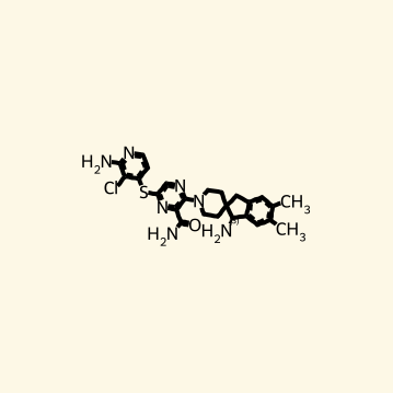 Cc1cc2c(cc1C)[C@@H](N)C1(CCN(c3ncc(Sc4ccnc(N)c4Cl)nc3C(N)=O)CC1)C2